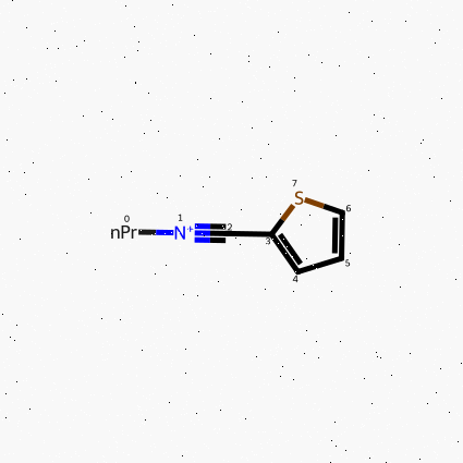 CCC[N+]#Cc1cccs1